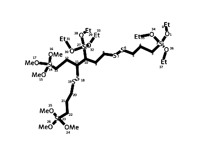 CCO[Si](CCCSSCCC(C(CC[Si](OC)(OC)OC)SSCCC[Si](OC)(OC)OC)[Si](OCC)(OCC)OCC)(OCC)OCC